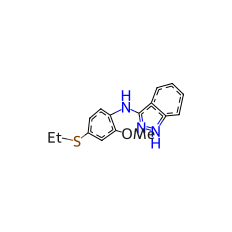 CCSc1ccc(Nc2n[nH]c3ccccc23)c(OC)c1